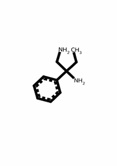 CCC(N)(CN)c1ccccc1